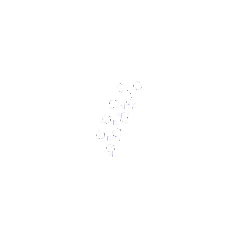 Cc1ccccc1N(c1ccccc1)c1ccnc(N(c2ccccc2)c2nc(N(c3ccccc3)c3ccnc(N(c4ccccc4)c4ccncc4C)c3C)c(C)cc2C)c1C